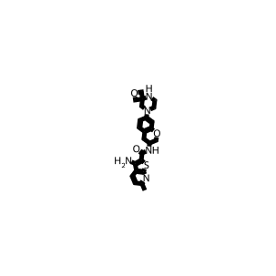 Cc1ccc2c(N)c(C(=O)NC3COc4cc(N5CCNC6(COC6)C5)ccc4C3)sc2n1